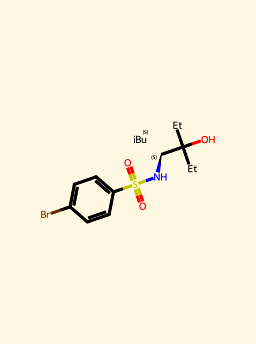 CC[C@H](C)[C@H](NS(=O)(=O)c1ccc(Br)cc1)C(O)(CC)CC